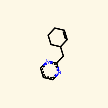 C1=CC(Cc2ncccn2)CCC1